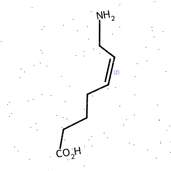 NC/C=C\CCCC(=O)O